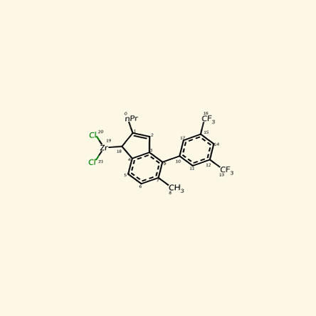 CCCC1=Cc2c(ccc(C)c2-c2cc(C(F)(F)F)cc(C(F)(F)F)c2)[CH]1[Zr]([Cl])[Cl]